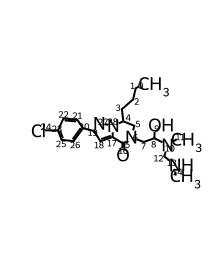 CCCCC1CN(CC(O)N(C)CNC)C(=O)c2cc(-c3ccc(Cl)cc3)nn21